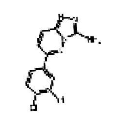 Nc1nnc2ccc(-c3ccc(Cl)c(Cl)c3)nn12